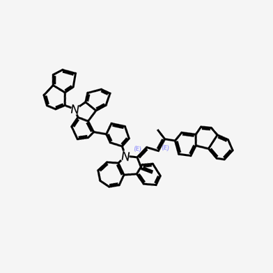 C=C/C(=C\C=C(/C)c1ccc2c(ccc3ccccc32)c1)N(C1=C(c2ccccc2)C=CCC=C1)c1cccc(-c2cccc3c2c2ccccc2n3-c2cccc3ccccc23)c1